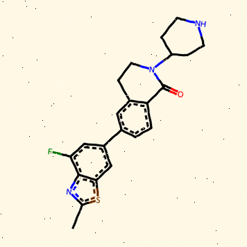 Cc1nc2c(F)cc(-c3ccc4c(c3)CCN(C3CCNCC3)C4=O)cc2s1